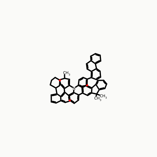 CC1C=C(N(c2ccc(-c3cccc4c3ccc3ccccc34)cc2)c2ccccc2-c2ccc3c(c2)C(C)(C)c2ccccc2-3)C(c2cccc3cccc(C4CCCCC4)c23)=CC1